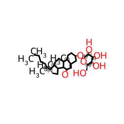 CC(C)CCC[C@@H](C)[C@H]1CCC2C3C(=O)C=C4CC(O[C@H]5O[C@H](CO)[C@H](O)[C@H](O)[C@@H]5O)CC[C@]4(C)C3CC[C@@]21C